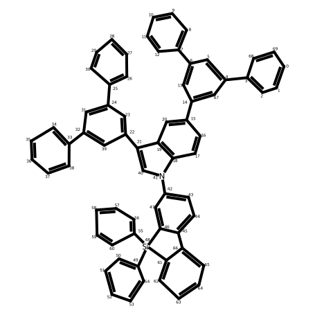 c1ccc(-c2cc(-c3ccccc3)cc(-c3ccc4c(c3)c(-c3cc(-c5ccccc5)cc(-c5ccccc5)c3)cn4-c3ccc4c(c3)[Si](c3ccccc3)(c3ccccc3)c3ccccc3-4)c2)cc1